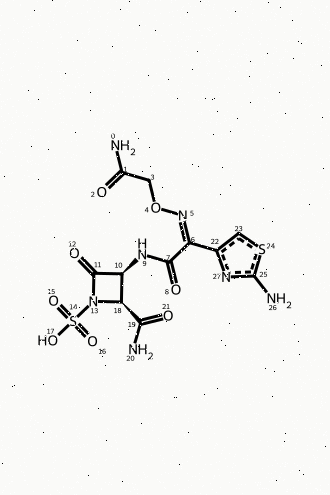 NC(=O)CO/N=C(\C(=O)N[C@@H]1C(=O)N(S(=O)(=O)O)[C@@H]1C(N)=O)c1csc(N)n1